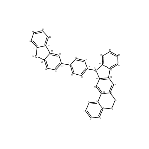 c1ccc2c(c1)CCc1cc3c4ccccc4n(-c4ccc(-c5ccc6oc7ccccc7c6c5)cc4)c3cc1-2